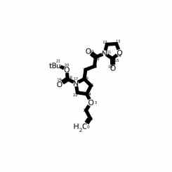 C=CCOC1CC(CCC(=O)N2CCOC2=O)N(C(=O)OC(C)(C)C)C1